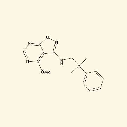 COc1ncnc2onc(NCC(C)(C)c3ccccc3)c12